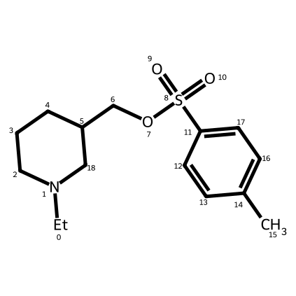 CCN1CCCC(COS(=O)(=O)c2ccc(C)cc2)C1